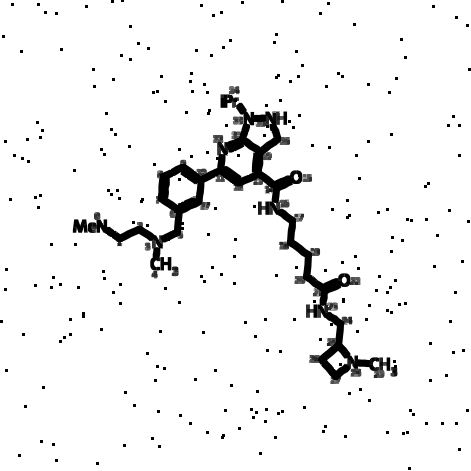 CNCCN(C)Cc1cccc(-c2cc(C(=O)NCCCCC(=O)NCC3CCN3C)c3c(n2)N(C(C)C)NC3)c1